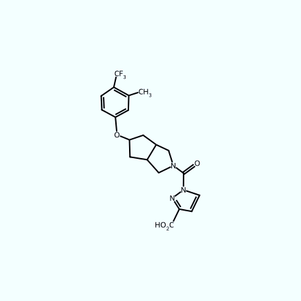 Cc1cc(OC2CC3CN(C(=O)n4ccc(C(=O)O)n4)CC3C2)ccc1C(F)(F)F